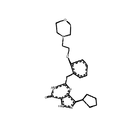 O=c1[nH]c(Cc2ccccc2OCCN2CCOCC2)nc2c(C3CCCC3)n[nH]c12